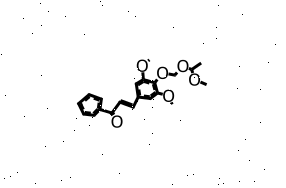 COc1cc(C=CC(=O)c2ccccc2)cc(OC)c1OCOC(C)OC